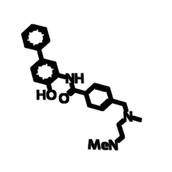 CNCCN(C)CC1=CCC(C(=O)Nc2cc(-c3ccccc3)ccc2O)C=C1